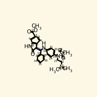 COC(=O)c1ccc2c(c1)NC(=O)/C2=C(/Nc1ccc(N(CCN(C)C)S(C)(=O)=O)cc1)c1ccccc1